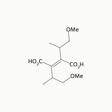 COCC(C)C(C(=O)O)=C(C(=O)O)C(C)COC